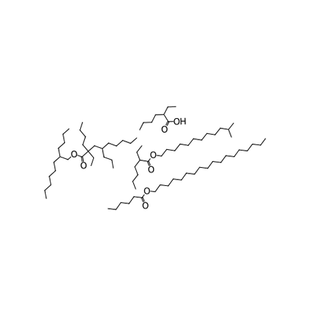 CCCCC(CC)C(=O)O.CCCCC(CC)C(=O)OCCCCCCCCCCC(C)C.CCCCCCC(CCCC)COC(=O)C(CC)(CCCC)CC(CCC)CCCCC.CCCCCCCCCCCCCCCCCCOC(=O)CCCCC